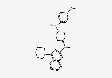 COc1ccc([S+]([O-])N2CCN(C(C)c3nc(N4CCSCC4)c4ccccc4n3)CC2)cc1